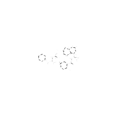 Cc1ccc(OCC(Cc2ccccc2)NC(=O)OC(C)(C)C)cc1C(=O)NC1(c2cccc3ccccc23)CC1